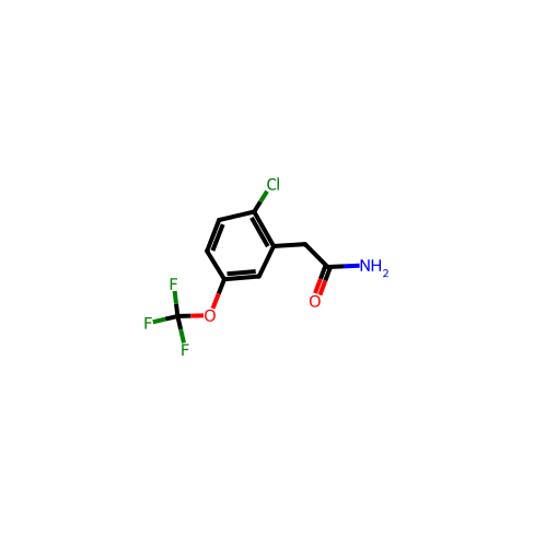 NC(=O)Cc1cc(OC(F)(F)F)ccc1Cl